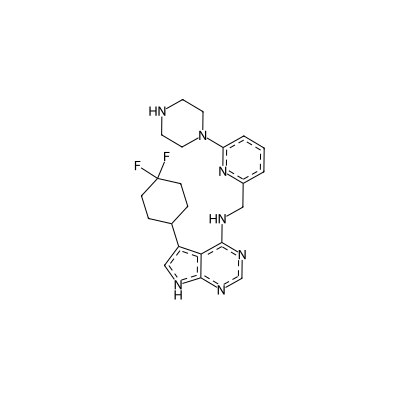 FC1(F)CCC(c2c[nH]c3ncnc(NCc4cccc(N5CCNCC5)n4)c23)CC1